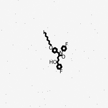 O=C1C(CCC(O)c2ccc(F)cc2)C(c2ccc(OCCCCCCCI)cc2)N1c1ccc(F)cc1